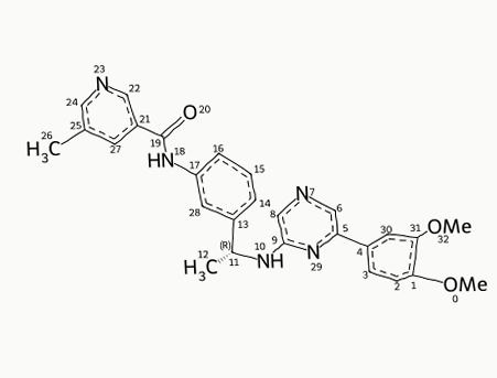 COc1ccc(-c2cncc(N[C@H](C)c3cccc(NC(=O)c4cncc(C)c4)c3)n2)cc1OC